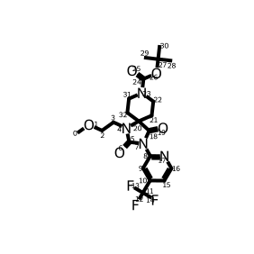 COCCN1C(=O)N(c2cc(C(F)(F)F)ccn2)C(=O)C12CCN(C(=O)OC(C)(C)C)CC2